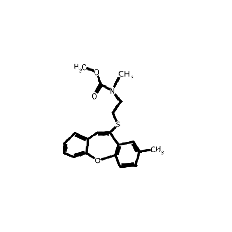 COC(=O)N(C)CCSC1=Cc2ccccc2Oc2ccc(C)cc21